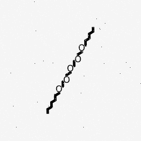 CCCCCCCOCCOCCOCCOCCOCCCCCC